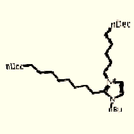 CCCCCCCCCCCCCCCCCCc1n(CCCC)cc[n+]1CCCCCCCCCCCCCCC